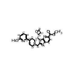 COC(=O)c1ccc2nc(CN3CCC(c4cccc(O)n4)CC3)n(C[C@@H]3CCO3)c2n1